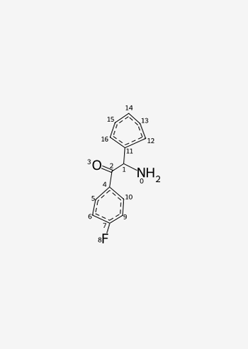 NC(C(=O)c1ccc(F)cc1)c1ccccc1